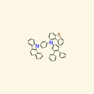 c1ccc(-c2ccc(N(c3ccc(-n4c5ccccc5c5ccc6ccccc6c54)cc3)c3cccc4sc5ccccc5c34)cc2-c2ccccc2)cc1